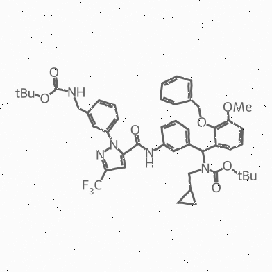 COc1cccc(C(c2cccc(NC(=O)c3cc(C(F)(F)F)nn3-c3cccc(CNC(=O)OC(C)(C)C)c3)c2)N(CC2CC2)C(=O)OC(C)(C)C)c1OCc1ccccc1